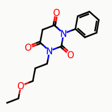 CCOCCCN1C(=O)CC(=O)N(c2ccccc2)C1=O